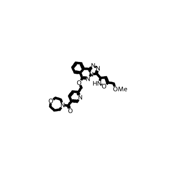 COCC1=CC(c2nnc3c4ccccc4c(OCc4ccc(C(=O)N5CCCOCC5)cn4)nn23)NO1